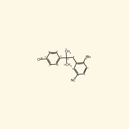 CC(C)(C)c1ccc(C#N)cc1CC(C)(C)c1ccc(Cl)cc1